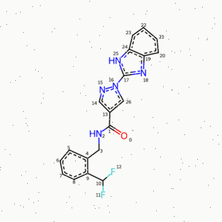 O=C(NCc1ccccc1C(F)F)c1cnn(-c2nc3ccccc3[nH]2)c1